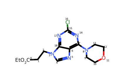 CCOC(=O)CCn1cnc2c(N3CCOCC3)nc(Cl)nc21